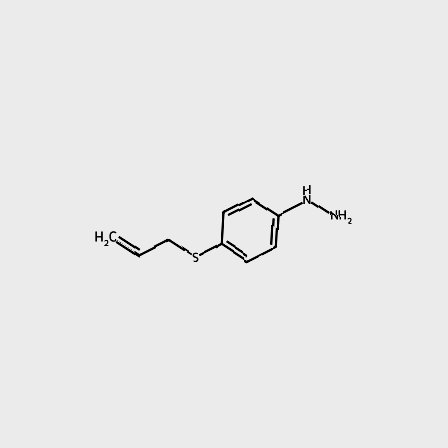 C=CCSc1ccc(NN)cc1